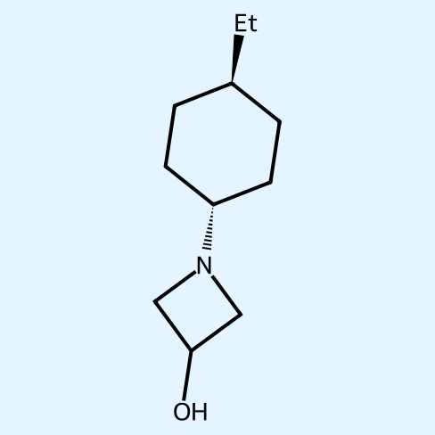 CC[C@H]1CC[C@H](N2CC(O)C2)CC1